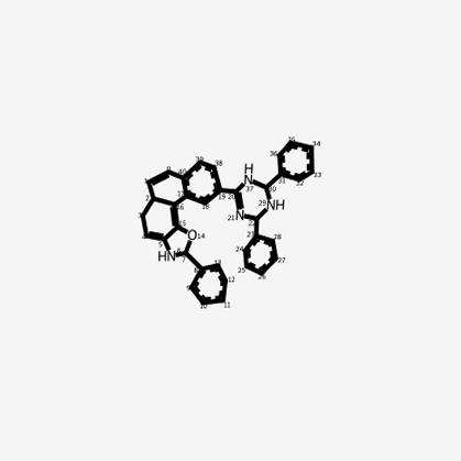 C1=CC2CC=C3NC(c4ccccc4)OC3=C2c2cc(C3=NC(c4ccccc4)NC(c4ccccc4)N3)ccc21